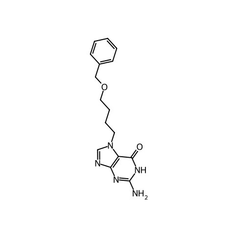 Nc1nc2ncn(CCCCOCc3ccccc3)c2c(=O)[nH]1